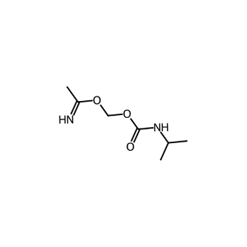 CC(=N)OCOC(=O)NC(C)C